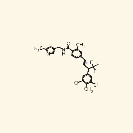 Cc1ncc(CNC(=O)c2ccc(/C=C/C(c3cc(Cl)c(C)c(Cl)c3)C(F)(F)F)cc2C)s1